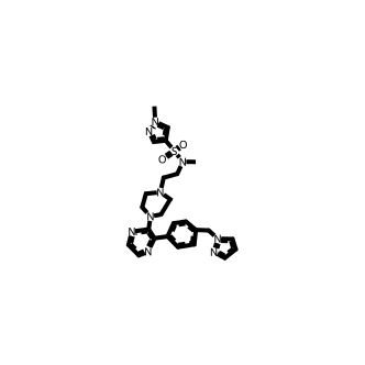 CN(CCN1CCN(c2nccnc2-c2ccc(Cn3cccn3)cc2)CC1)S(=O)(=O)c1cnn(C)c1